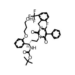 Cc1c(-c2ccccc2)c(=O)n(CC[C@H](NC(=O)OC(C)(C)C)c2ccccc2OCCCO)c(=O)n1Cc1c(F)cccc1C(F)(F)F